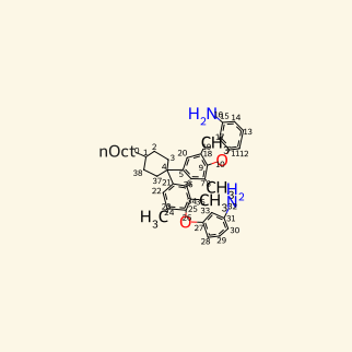 CCCCCCCCC1CCC(c2cc(C)c(Oc3cccc(N)c3)c(C)c2)(c2cc(C)c(Oc3cccc(N)c3)c(C)c2)CC1